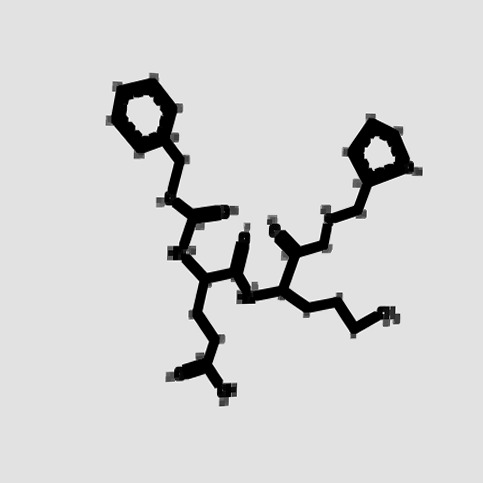 CCCCC(NC(=O)C(CCC(=O)O)NC(=O)OCc1ccccc1)C(=O)CSCc1ccco1